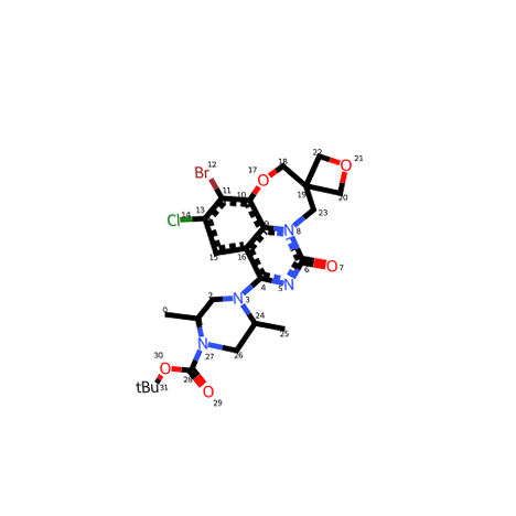 CC1CN(c2nc(=O)n3c4c(c(Br)c(Cl)cc24)OCC2(COC2)C3)C(C)CN1C(=O)OC(C)(C)C